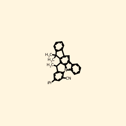 CC(C)c1cc(C#N)c2c(c1)C(C)c1c3c(cc4c5ccccc5n-2c14)-c1ccccc1C3(C)C